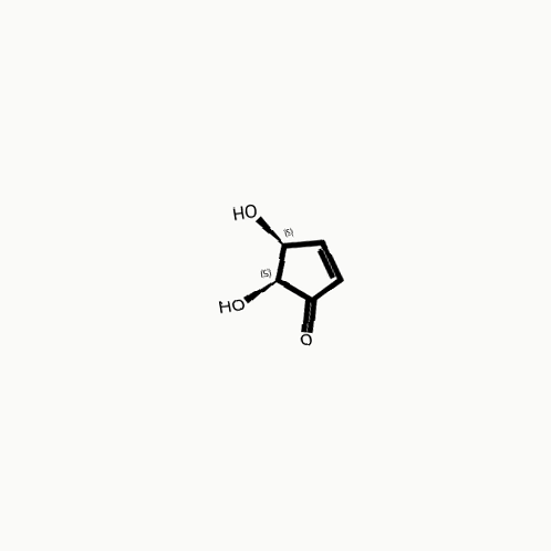 O=C1C=C[C@H](O)[C@@H]1O